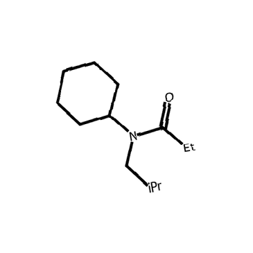 CCC(=O)N(CC(C)C)C1CCCCC1